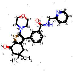 CC1(C)CC(=O)c2sc(N3CCOCC3)c(-c3cccc(C(=O)NCc4ccccn4)c3)c2C1